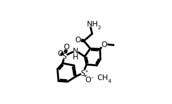 C.COc1ccc2c(c1C(=O)CN)NS(=O)(=O)c1cccc(c1)[S+]2[O-]